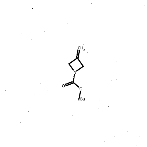 C=C1CN(C(=O)OCCCC)C1